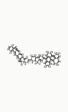 CC1(C)c2cc(-c3ccc4c(c3)-c3cc5cc6sc7ccccc7c6cc5cc3C4(C)C)ccc2-c2ccc(-c3c4ccccc4c(-c4cccc5ccccc45)c4ccccc34)cc21